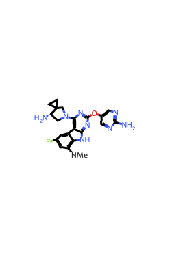 CNc1cc(F)cc2c1[nH]c1nc(Oc3cnc(N)nc3)nc(N3C[C@H](N)C4(CC4)C3)c12